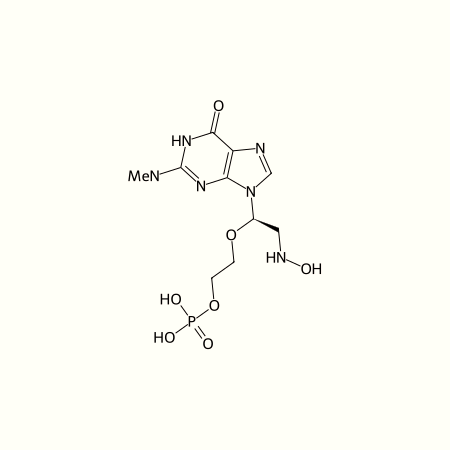 CNc1nc2c(ncn2[C@@H](CNO)OCCOP(=O)(O)O)c(=O)[nH]1